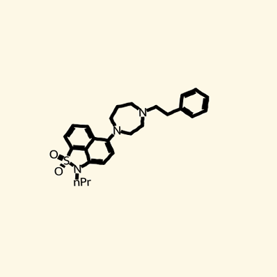 CCCN1c2ccc(N3CCCN(CCc4ccccc4)CC3)c3cccc(c23)S1(=O)=O